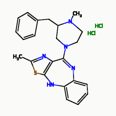 Cc1nc2c(s1)Nc1ccccc1N=C2N1CCN(C)C(Cc2ccccc2)C1.Cl.Cl